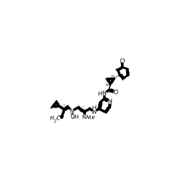 C=C/C(=C\N(O)/C=C(/CNc1ccnc(NC(=O)[C@H]2C[C@@H]2c2cccc(Cl)c2)c1)NC)C1CC1